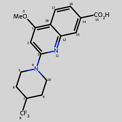 COc1cc(N2CCC(C(F)(F)F)CC2)nc2cc(C(=O)O)ccc12